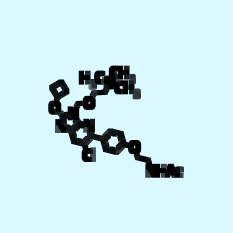 CC(=O)NCCOc1ccc(-c2nc3c(cc2Cl)nc(OC2CCC2)n3COCC[Si](C)(C)C)cc1